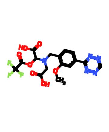 COc1cc(-c2nncnn2)ccc1CN(CC(=O)O)C(OC(=O)C(F)(F)F)C(=O)O